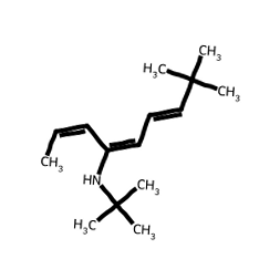 C\C=C/C(=C\C=C\C(C)(C)C)NC(C)(C)C